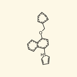 C1=C[SH](c2ccc(OCc3ccccc3)c3ccccc23)C=C1